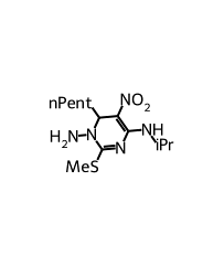 CCCCCC1C([N+](=O)[O-])=C(NC(C)C)N=C(SC)N1N